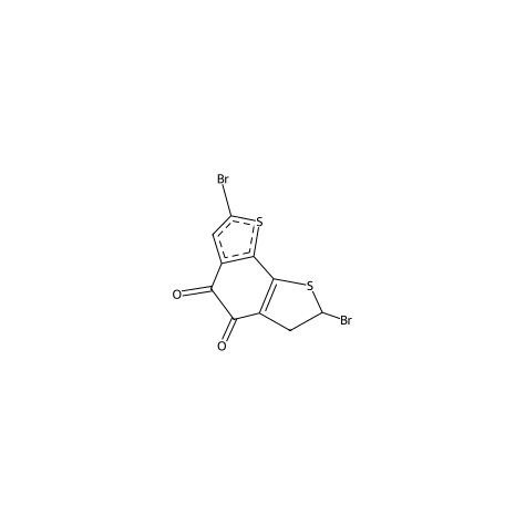 O=C1C(=O)c2cc(Br)sc2C2=C1CC(Br)S2